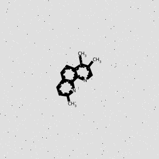 Cc1ccc2ccc3c(C)c(C)cnc3c2n1